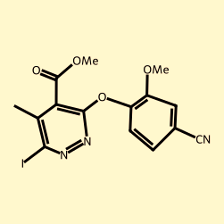 COC(=O)c1c(Oc2ccc(C#N)cc2OC)nnc(I)c1C